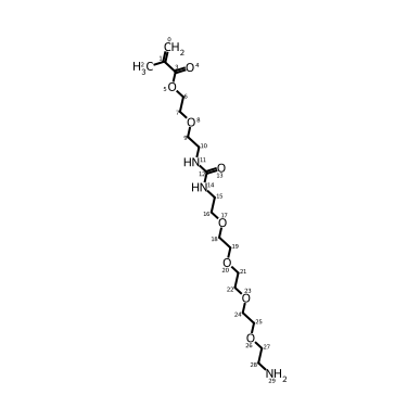 C=C(C)C(=O)OCCOCCNC(=O)NCCOCCOCCOCCOCCN